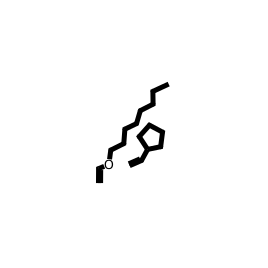 C=CC1CCCC1.C=COCCCCCCCC